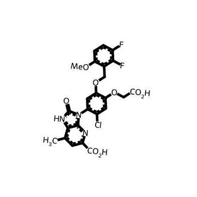 COc1ccc(F)c(F)c1COc1cc(-n2c(=O)[nH]c3c(C)cc(C(=O)O)nc32)c(Cl)cc1OCC(=O)O